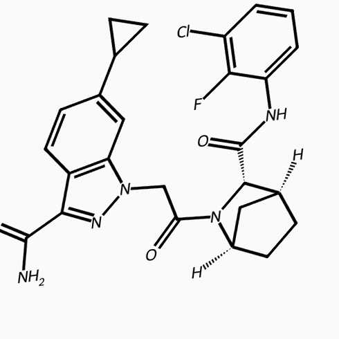 NC(=O)c1nn(CC(=O)N2[C@@H]3CC[C@@H](C3)[C@H]2C(=O)Nc2cccc(Cl)c2F)c2cc(C3CC3)ccc12